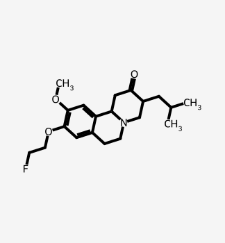 COc1cc2c(cc1OCCF)CCN1CC(CC(C)C)C(=O)CC21